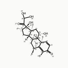 C[C@H]1C[C@H]2[C@@H]3C[C@H](F)C4=C(F)C(=O)C=C[C@]4(C)[C@@]3(F)[C@@H](O)C[C@]2(C)[C@@]1(O)C(=O)C(O)O